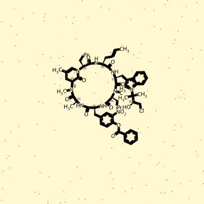 C/C=C/C[C@@H]1NC(=O)[C@H](CC(C)C)N2C=C(C)C[C@@H](C2=O)N(C)C(=O)[C@H](C)NC(=O)[C@H](Cc2ccc(OC(=O)c3ccccc3)c([N+](=O)[O-])c2)NC(=O)[C@H](CC(C)C)N(C)C(=O)[C@H](Cc2cn(C(C)(C)[C@H](O)CCl)c3ccccc23)NC1=O